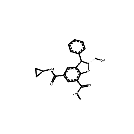 CNC(=O)c1cc(C(=O)NC2CC2)cc2c1O[C@@H](CO)C2c1ccccc1